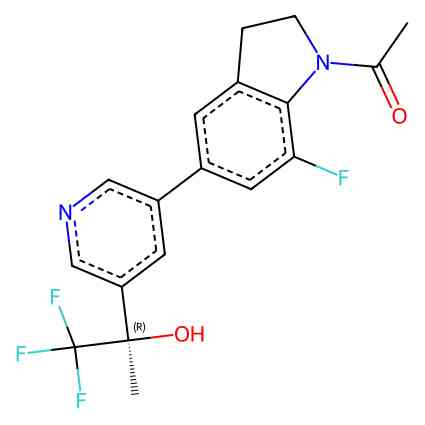 CC(=O)N1CCc2cc(-c3cncc([C@@](C)(O)C(F)(F)F)c3)cc(F)c21